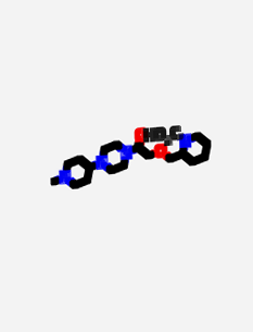 CN1CCC(N2CCN(C(=O)COCC3CCCCN3C(=O)O)CC2)CC1